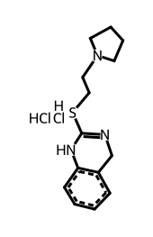 Cl.Cl.c1ccc2c(c1)CN=C(SCCN1CCCC1)N2